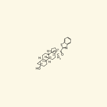 C[C@]12CC[C@@H]3[C@H]4CC[C@]5(O)CC5[C@H]4CC[C@H]3[C@@H]1CC[C@@H]2C(=O)c1nc2ccccc2s1